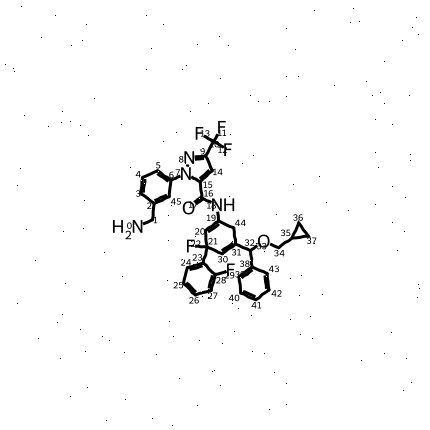 NCc1cccc(-n2nc(C(F)(F)F)cc2C(=O)NC2=CC(F)(c3ccccc3F)C=C(C(OCC3CC3)c3ccccc3)C2)c1